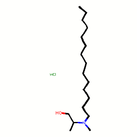 CCCCCCCCCCCCCCN(C)C(C)CO.Cl